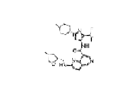 C[C@@H]1CO[C@@H](CNc2ccc3cncc(C(=O)Nc4cn([C@H]5CC[C@H](C)CC5)nc4C(F)F)c3n2)C1